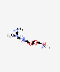 CCCN(CCCNC)CCCNC(=O)NCCCC1OCC2(COC(CCCNC(C)=O)OC2)CO1